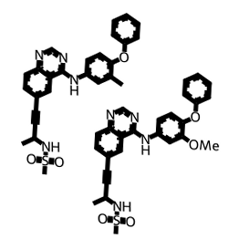 COc1cc(Nc2ncnc3ccc(C#CC(C)NS(C)(=O)=O)cc23)ccc1Oc1ccccc1.Cc1cc(Nc2ncnc3ccc(C#CC(C)NS(C)(=O)=O)cc23)ccc1Oc1ccccc1